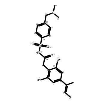 C/C=C(\C)c1cc(C(C)C)c(CC(=O)NS(=O)(=O)c2ccc(CN(C)C)cc2)c(C(C)C)c1